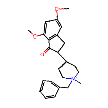 COc1cc2c(c(OC)c1)C(=O)C(C1CC[N+](C)(Cc3ccccc3)CC1)C2